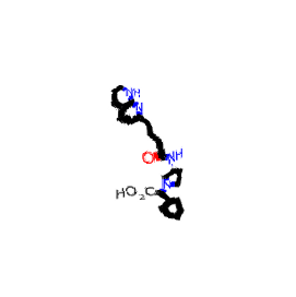 O=C(CCCc1ccc2c(n1)NCCC2)N[C@@H]1CCN(C(C(=O)O)c2ccccc2)C1